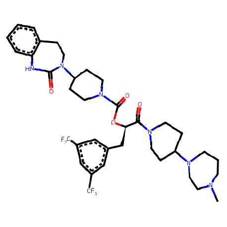 CN1CCCN(C2CCN(C(=O)[C@@H](Cc3cc(C(F)(F)F)cc(C(F)(F)F)c3)OC(=O)N3CCC(N4CCc5ccccc5NC4=O)CC3)CC2)CC1